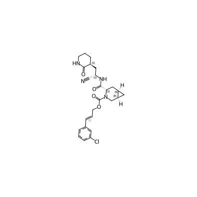 N#C[C@H](C[C@@H]1CCCNC1=O)NC(=O)[C@@H]1C[C@H]2C[C@H]2CN1C(=O)OC/C=C/c1cccc(Cl)c1